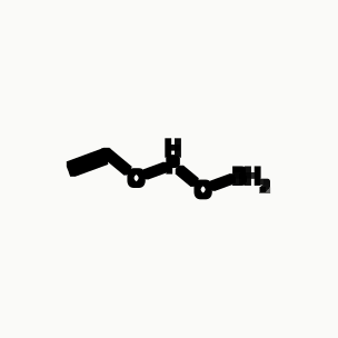 BOPOC=C